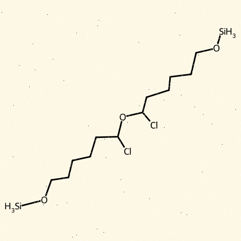 [SiH3]OCCCCCC(Cl)OC(Cl)CCCCCO[SiH3]